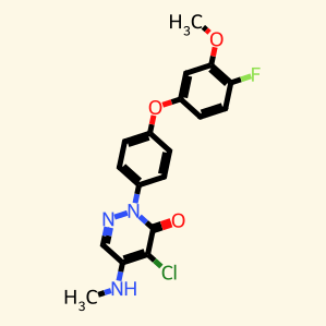 CNc1cnn(-c2ccc(Oc3ccc(F)c(OC)c3)cc2)c(=O)c1Cl